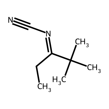 CC/C(=N\C#N)C(C)(C)C